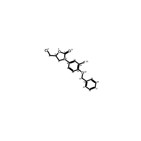 O=C1OC(CCl)CN1c1ccc(OCc2ccccc2)c(F)c1